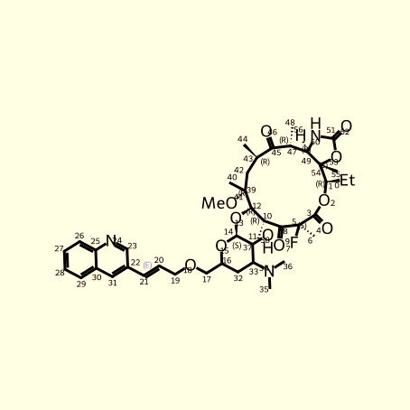 CC[C@H]1OC(=O)[C@@](C)(F)C(=O)[C@H](C)[C@@H](O[C@@H]2OC(COC/C=C/c3cnc4ccccc4c3)CC(N(C)C)C2O)[C@](C)(OC)C[C@@H](C)C(=O)[C@H](C)[C@H]2NC(=O)O[C@@]21C